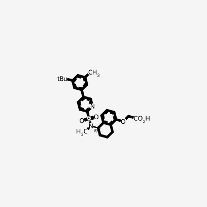 Cc1cc(-c2ccc(S(=O)(=O)N(C)[C@@H]3CCCc4c(OCC(=O)O)cccc43)nc2)cc(C(C)(C)C)c1